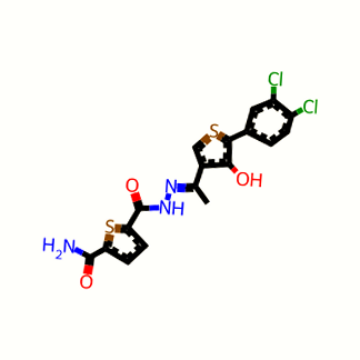 C/C(=N\NC(=O)c1ccc(C(N)=O)s1)c1csc(-c2ccc(Cl)c(Cl)c2)c1O